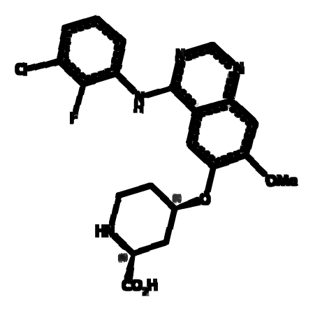 COc1cc2ncnc(Nc3cccc(Cl)c3F)c2cc1O[C@@H]1CCN[C@H](C(=O)O)C1